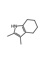 Cc1[nH]c2c(c1C)CCCC2